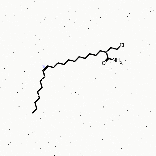 CCCCCCCC/C=C\CCCCCCCCCCC(CCCl)C(N)=O